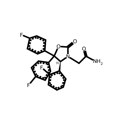 NC(=O)CN1C(=O)OC(c2ccc(F)cc2)(c2ccc(F)cc2)[C@@H]1c1ccccc1F